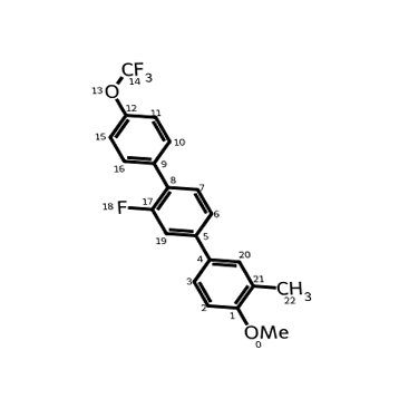 COc1ccc(-c2ccc(-c3ccc(OC(F)(F)F)cc3)c(F)c2)cc1C